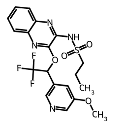 CCCS(=O)(=O)Nc1nc2ccccc2nc1OC(c1cncc(OC)c1)C(F)(F)F